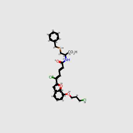 O=C(C=CC=C(Cl)c1cc2cccc(OCCCCl)c2o1)NC(CSCc1ccccc1)C(=O)O